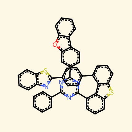 c1ccc(-c2nc(-c3ccc4c(c3)oc3ccccc34)nc(-c3cccc4sc5cccc(-c6ccc(-c7nc8ccccc8s7)cc6)c5c34)n2)cc1